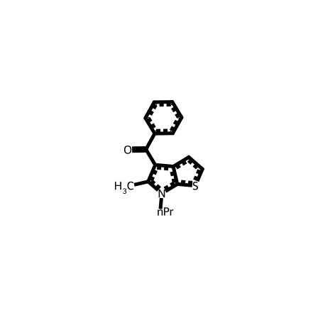 CCCn1c(C)c(C(=O)c2ccccc2)c2ccsc21